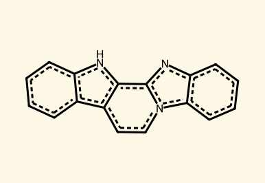 c1ccc2c(c1)nc1c3[nH]c4ccccc4c3ccn21